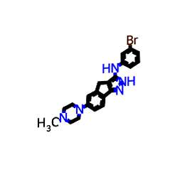 CN1CCN(c2ccc3c(c2)Cc2c-3n[nH]c2Nc2cccc(Br)c2)CC1